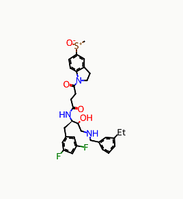 CCc1cccc(CNC[C@H](O)[C@@H](Cc2cc(F)cc(F)c2)NC(=O)CCC(=O)N2CCc3cc([S+](C)[O-])ccc32)c1